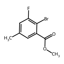 COC(=O)c1cc(C)cc(F)c1Br